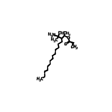 C=CC(=O)OC(C)C(CCCCCCCCCCCCCC)C(C)(C)N